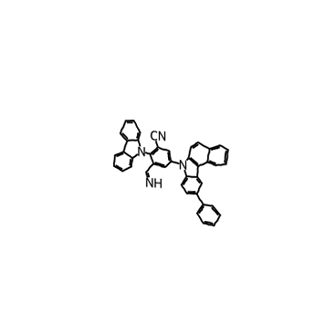 N#Cc1cc(-n2c3ccc(-c4ccccc4)cc3c3c4ccccc4ccc32)cc(C=N)c1-n1c2ccccc2c2ccccc21